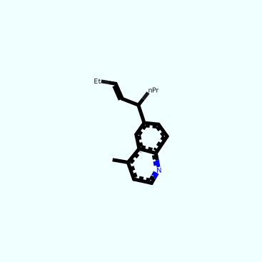 CCC=CC(CCC)c1ccc2nccc(C)c2c1